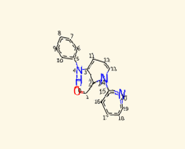 O=CC1C(Nc2ccccc2)=CC=CN1c1ccccn1